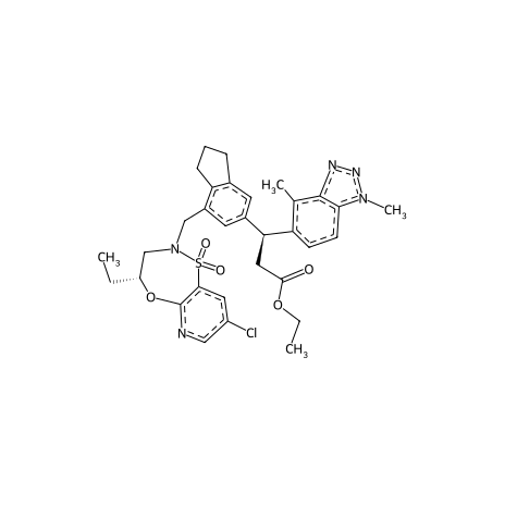 CCOC(=O)C[C@@H](c1cc2c(c(CN3C[C@@H](CC)Oc4ncc(Cl)cc4S3(=O)=O)c1)CCC2)c1ccc2c(nnn2C)c1C